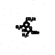 CCOC(=O)c1ccc(NC(C)C(=O)OC)c([N+](=O)[O-])c1